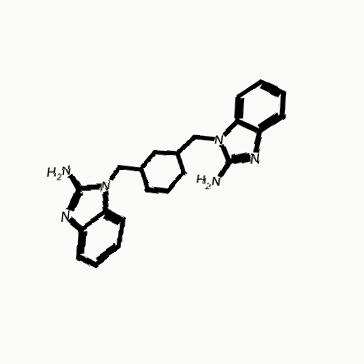 Nc1nc2ccccc2n1CC1CCCC(Cn2c(N)nc3ccccc32)C1